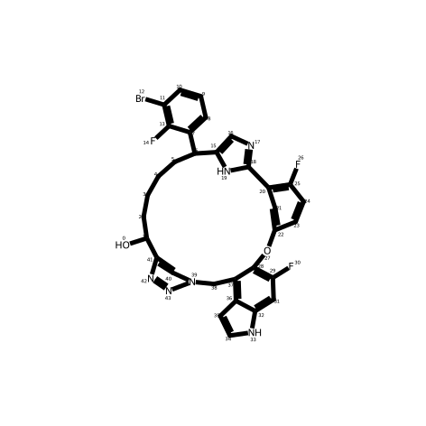 OC1CCCCC(c2cccc(Br)c2F)c2cnc([nH]2)-c2cc(ccc2F)Oc2c(F)cc3[nH]ccc3c2Cn2cc1nn2